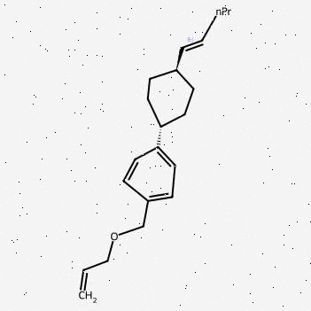 C=CCOCc1ccc([C@H]2CC[C@H](/C=C/CCC)CC2)cc1